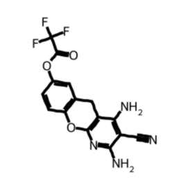 N#Cc1c(N)nc2c(c1N)Cc1cc(OC(=O)C(F)(F)F)ccc1O2